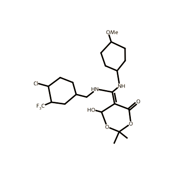 COC1CCC(N/C(NCC2CCC(Cl)C(C(F)(F)F)C2)=C2\C(=O)OC(C)(C)OC2O)CC1